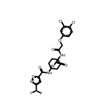 O=C(COc1ccc(Cl)c(Cl)c1)NC12CCC(NC(=O)c3cc(C(F)F)no3)(CC1)NC2=O